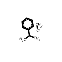 [CH2]C(C)c1ccccc1.[CH2]Cl